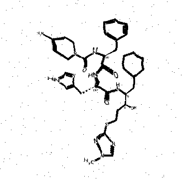 Cn1cnc(SCC[C@H](O)[C@H](CC2CCCCC2)NC(=O)[C@H](Cc2c[nH]cn2)NC(=O)[C@H](Cc2ccccc2)NC(=O)N2CCC(N)CC2)n1